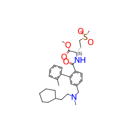 COC(=O)[C@H](CCS(C)(=O)=O)NC(=O)c1ccc(CN(C)CCC2CCCCC2)cc1-c1ccccc1C